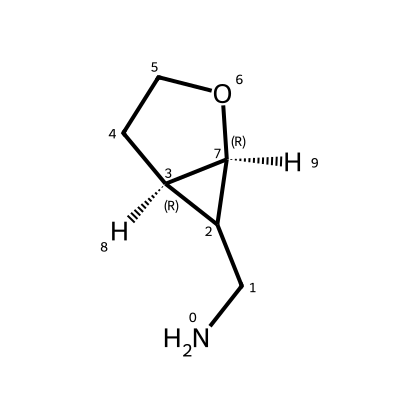 NCC1[C@H]2CCO[C@@H]12